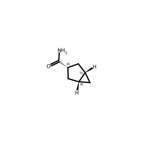 NC(=O)[C@@H]1C[C@@H]2C[C@@H]2C1